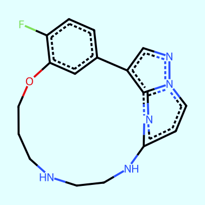 Fc1ccc2cc1OCCCNCCNc1ccn3ncc-2c3n1